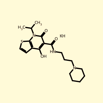 CC(C)n1c(=O)c(C(=O)NCCCN2CCCCC2)c(O)c2ccsc21.[KH]